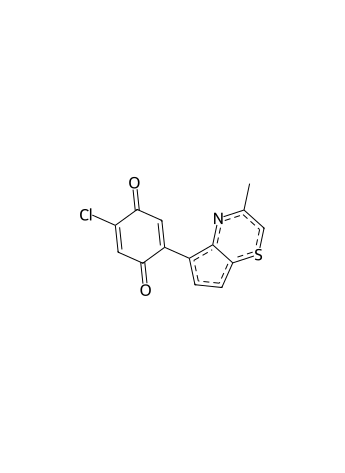 Cc1csc2ccc(C3=CC(=O)C(Cl)=CC3=O)c-2n1